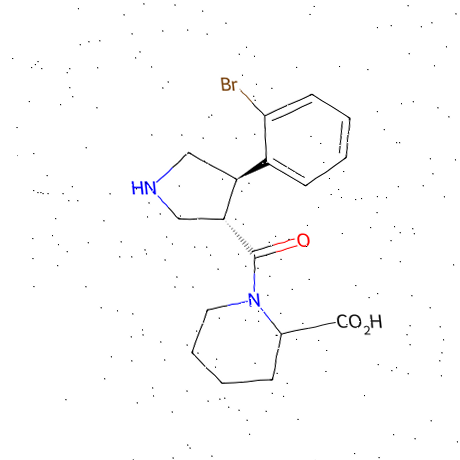 O=C(O)C1CCCCN1C(=O)[C@@H]1CNC[C@H]1c1ccccc1Br